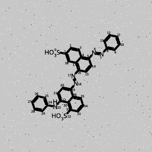 O=S(=O)(O)c1ccc2c(/N=N/c3ccccc3)ccc(/N=N/c3ccc(Nc4ccccc4)c4c(S(=O)(=O)O)cccc34)c2c1